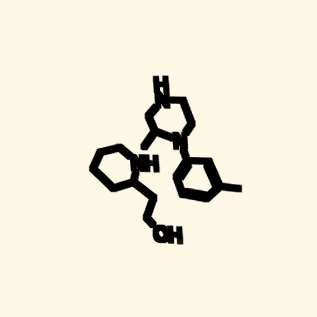 Cc1cccc(N2CCNCC2C)c1.OCCC1CCCCN1